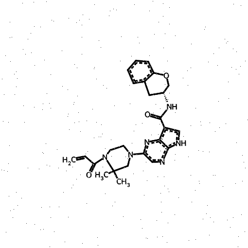 C=CC(=O)N1CCN(c2cnc3[nH]cc(C(=O)N[C@H]4COc5ccccc5C4)c3n2)CC1(C)C